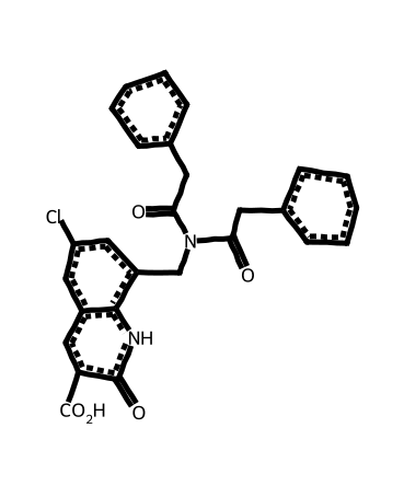 O=C(O)c1cc2cc(Cl)cc(CN(C(=O)Cc3ccccc3)C(=O)Cc3ccccc3)c2[nH]c1=O